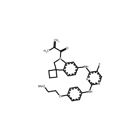 C=C(C)C(=O)N1CC2(CCC2)c2ccc(Nc3nc(Nc4ccc(OCCOC)cc4)ncc3F)cc21